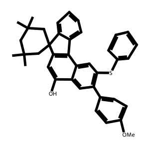 COc1ccc(-c2cc3c(O)cc4c(c3cc2Sc2ccccc2)-c2ccccc2C42CC(C)(C)CC(C)(C)C2)cc1